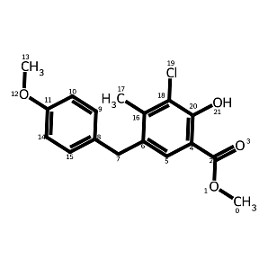 COC(=O)c1cc(Cc2ccc(OC)cc2)c(C)c(Cl)c1O